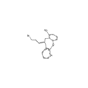 Oc1cccc2c1CC(=CCCBr)c1cccnc1O2